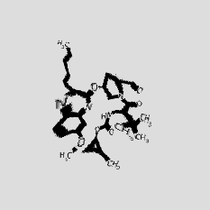 CCCCCc1nc2ccc(OC)cc2nc1O[C@@H]1C[C@@H](C=O)N(C(=O)C(NC(=O)O[C@@H]2CC2C)C(C)(C)C)C1